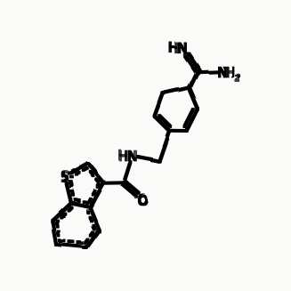 N=C(N)C1C=CC(CNC(=O)c2csc3ccccc23)=CC1